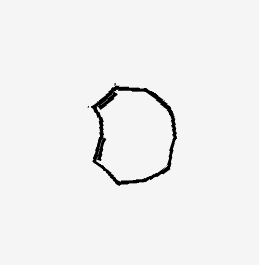 [C]1=[C]\CCCCCC/C=C/1